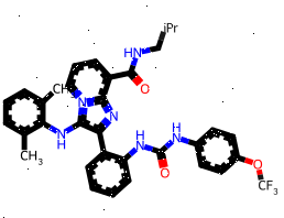 Cc1cccc(C)c1Nc1c(-c2ccccc2NC(=O)Nc2ccc(OC(F)(F)F)cc2)nc2c(C(=O)NCC(C)C)cccn12